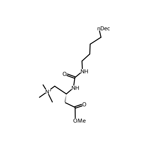 CCCCCCCCCCCCCCNC(=O)N[C@H](CC(=O)OC)C[N+](C)(C)C